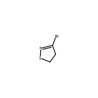 BrC1=NS[C]C1